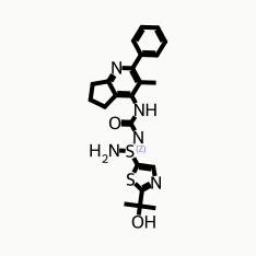 Cc1c(-c2ccccc2)nc2c(c1NC(=O)/N=S(\N)c1cnc(C(C)(C)O)s1)CCC2